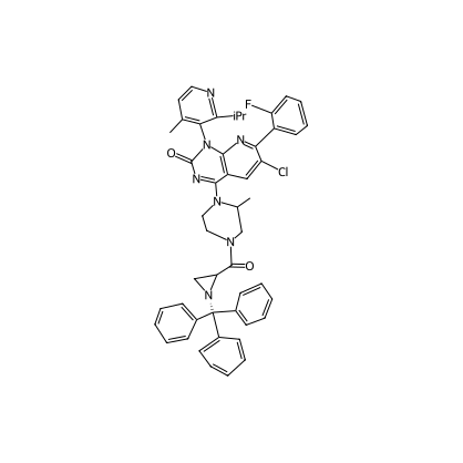 Cc1ccnc(C(C)C)c1-n1c(=O)nc(N2CCN(C(=O)C3C[N@@]3C(c3ccccc3)(c3ccccc3)c3ccccc3)CC2C)c2cc(Cl)c(-c3ccccc3F)nc21